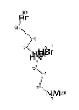 Br.Br.CNCCCNCCCBr